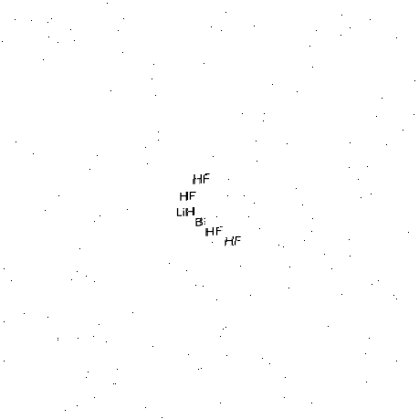 F.F.F.F.[B].[LiH]